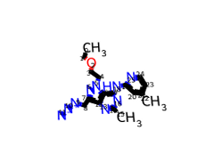 CCOCCn1nc(CN=[N+]=[N-])c2nc(C)nc(Nc3cc(C)ccn3)c21